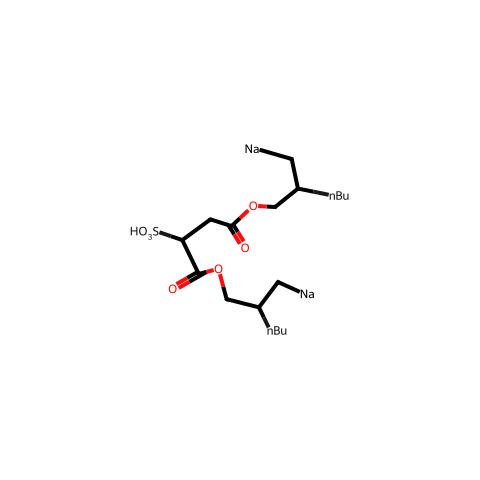 CCCCC([CH2][Na])COC(=O)CC(C(=O)OCC([CH2][Na])CCCC)S(=O)(=O)O